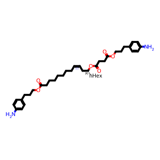 CCCCCC[C@H](C/C=C\CCCCCCCC(=O)OCCCc1ccc(N)cc1)OC(=O)CCC(=O)OCCCc1ccc(N)cc1